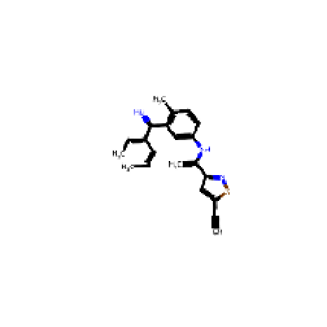 C#Cc1cc(C(=C)Nc2ccc(C)c(C(=N)C(/C=C\C)=C/C)c2)ns1